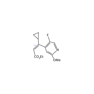 CCOC(=O)/C=C(\c1cc(OC)ncc1F)C1CC1